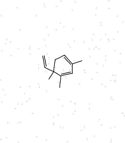 C=CC1(C)CC=C(C)C=C1C